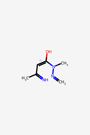 C=NN(C)/C(O)=C\C(C)=N